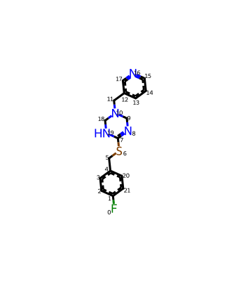 Fc1ccc(CSC2=NCN(Cc3cccnc3)CN2)cc1